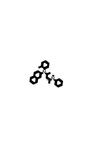 C/C(=C/C(C)N(c1ccc2ccccc2c1)c1ccccc1C)N(C)c1ccccc1